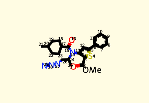 COC(=O)c1sc(-c2ccccc2)cc1N(C(=O)C1CCC(C)CC1)C(C)CN=[N+]=[N-]